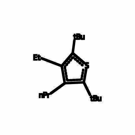 CCCc1c(C(C)(C)C)sc(C(C)(C)C)c1CC